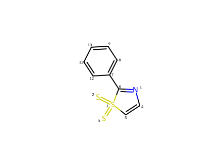 S=S1(=S)C=CN=C1c1ccccc1